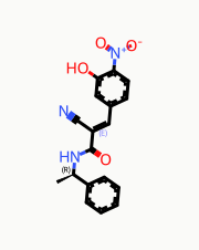 C[C@@H](NC(=O)/C(C#N)=C/c1ccc([N+](=O)[O-])c(O)c1)c1ccccc1